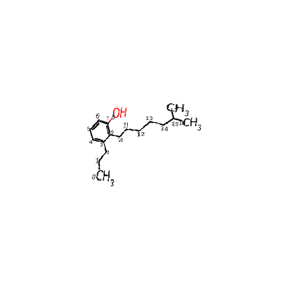 CCCc1cccc(O)c1CCCCCC(C)C